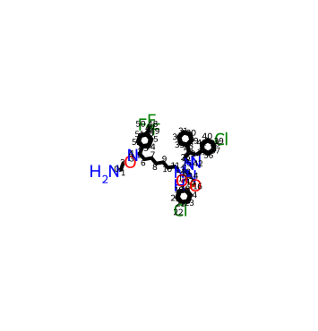 NCCO/N=C(\CCCCCCN/C(=N\S(=O)(=O)c1ccc(Cl)cc1)N1CC(c2ccccc2)C(c2ccc(Cl)cc2)=N1)c1ccc(C(F)(F)F)cc1